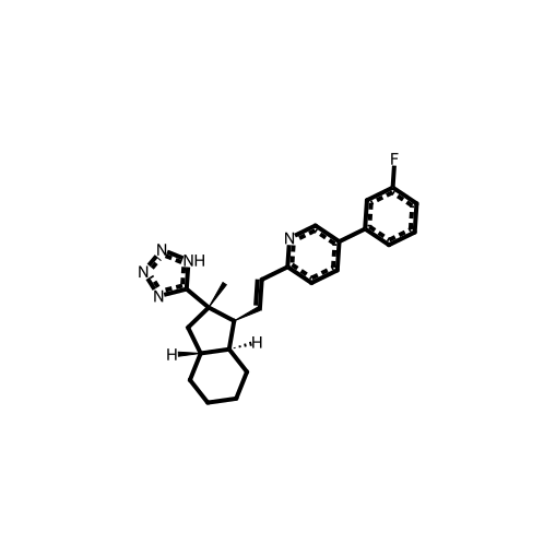 C[C@]1(c2nnn[nH]2)C[C@H]2CCCC[C@@H]2[C@@H]1C=Cc1ccc(-c2cccc(F)c2)cn1